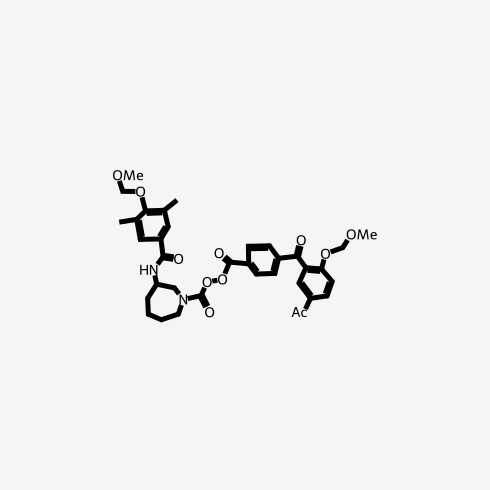 COCOc1ccc(C(C)=O)cc1C(=O)c1ccc(C(=O)OOC(=O)N2CCCCC(NC(=O)c3cc(C)c(OCOC)c(C)c3)C2)cc1